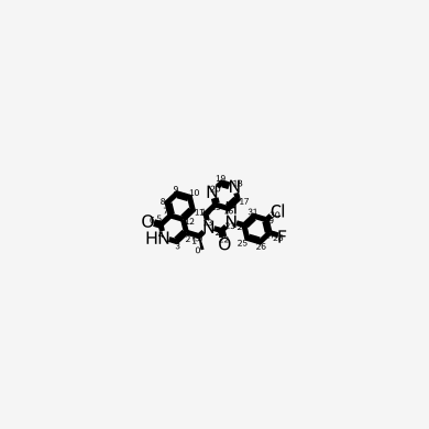 C[C@@H](c1c[nH]c(=O)c2ccccc12)N(Cc1ccncn1)C(=O)Nc1ccc(F)c(Cl)c1